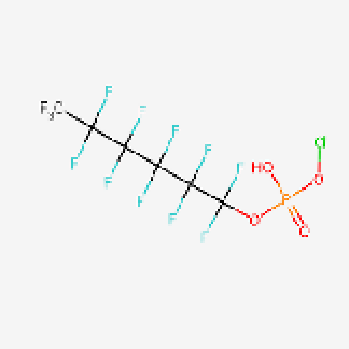 O=P(O)(OCl)OC(F)(F)C(F)(F)C(F)(F)C(F)(F)C(F)(F)C(F)(F)F